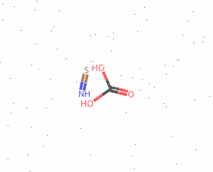 N=S.O=C(O)O